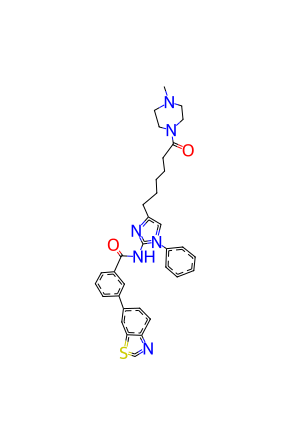 CN1CCN(C(=O)CCCCCc2cn(-c3ccccc3)c(NC(=O)c3cccc(-c4ccc5ncsc5c4)c3)n2)CC1